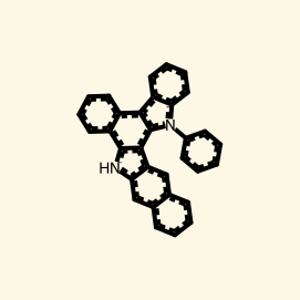 c1ccc(-n2c3ccccc3c3c4ccccc4c4[nH]c5cc6ccccc6cc5c4c32)cc1